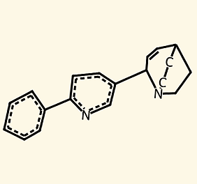 C1=CC(c2ccc(-c3ccccc3)nc2)N2CCC1CC2